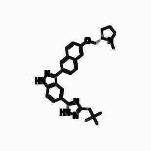 CN1CCC[C@H]1COc1ccc2cc(-c3n[nH]c4ccc(-c5nc(CC(C)(C)C)n[nH]5)cc34)ccc2c1